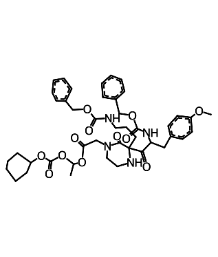 COc1ccc(CC(NC(=O)OCc2ccccc2)C(=O)C2(CCCNC(=O)OCc3ccccc3)NCCN(CC(=O)OC(C)OC(=O)OC3CCCCC3)C2=O)cc1